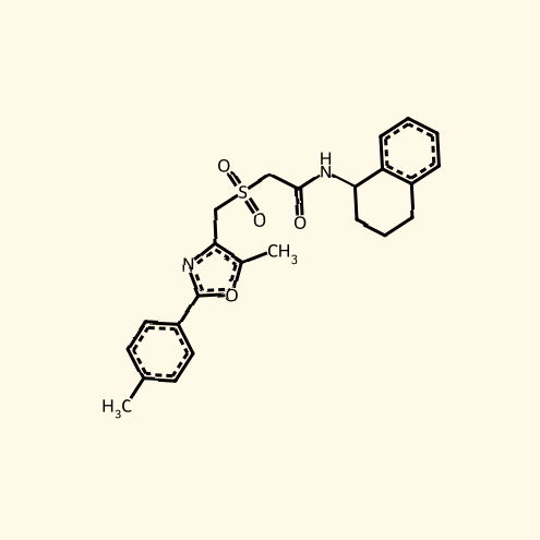 Cc1ccc(-c2nc(CS(=O)(=O)CC(=O)NC3CCCc4ccccc43)c(C)o2)cc1